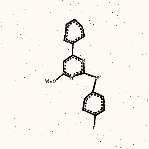 COc1cc(-c2ccccc2)nc(Nc2ccc(F)cc2)n1